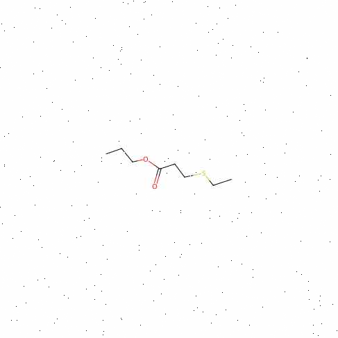 CCCOC(=O)CCSCC